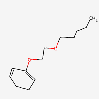 CCCCCOCCOC1=C[CH]CC=C1